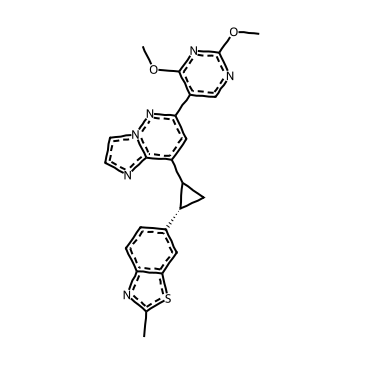 COc1ncc(-c2cc(C3C[C@@H]3c3ccc4nc(C)sc4c3)c3nccn3n2)c(OC)n1